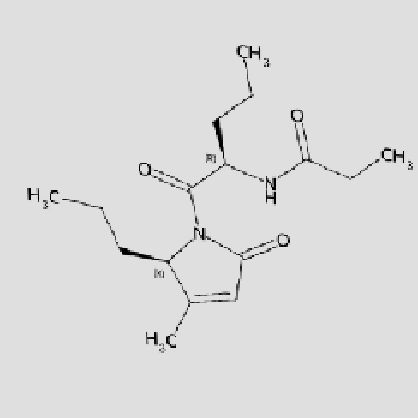 CCC[C@@H]1C(C)=CC(=O)N1C(=O)[C@@H](CCC)NC(=O)CC